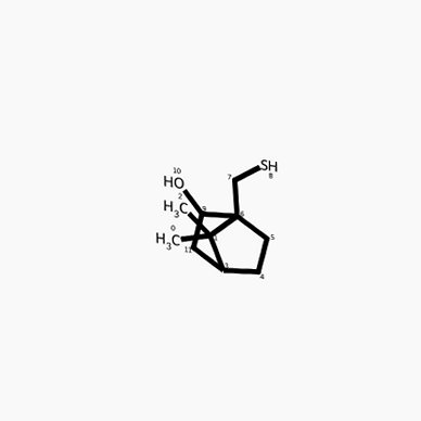 CC1(C)C2CCC1(CS)C(O)C2